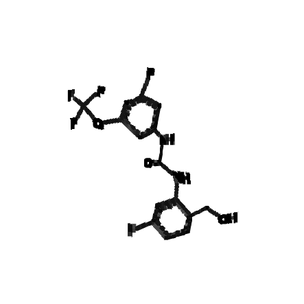 O=C(Nc1cc(F)cc(OC(F)(F)F)c1)Nc1cc(F)ccc1CO